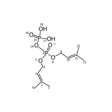 CC(C)=CCOP(=O)(OCC=C(C)C)OP(=O)(O)O